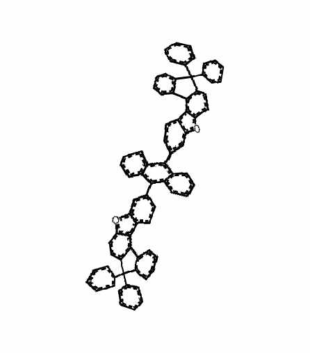 c1ccc(C2(c3ccccc3)c3ccccc3-c3c2ccc2oc4cc(-c5c6ccccc6c(-c6ccc7c(c6)oc6ccc8c(c67)-c6ccccc6C8(c6ccccc6)c6ccccc6)c6ccccc56)ccc4c32)cc1